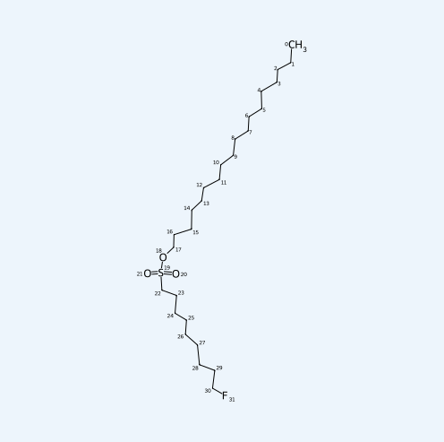 CCCCCCCCCCCCCCCCCCOS(=O)(=O)CCCCCCCCCF